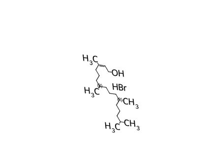 Br.CC(=CCO)CCC[C@H](C)CCC[C@H](C)CCCC(C)C